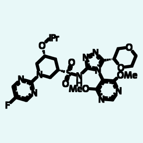 COc1ncnc(OC)c1-n1c(NS(=O)(=O)[C@H]2C[C@@H](OC(C)C)CN(c3ncc(F)cn3)C2)nnc1[C@@H]1COCCO1